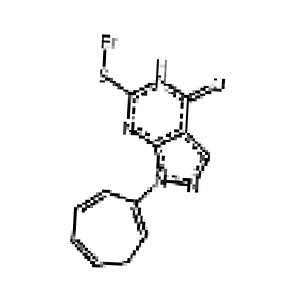 CCSc1nc2c(cnn2C2=CCC=CC=C2)c(=O)[nH]1